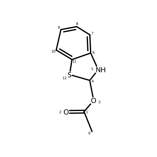 CC(=O)OC1Nc2ccccc2S1